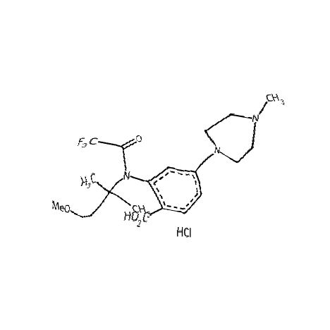 COCC(C)(C)N(C(=O)C(F)(F)F)c1cc(N2CCN(C)CC2)ccc1C(=O)O.Cl